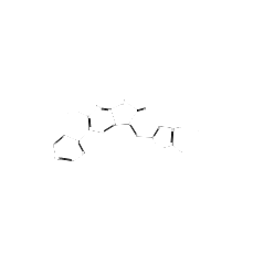 Cc1cc(C=C2C(=O)Nc3nc(C)c(-c4ccncc4)cc32)sc1C(C)C